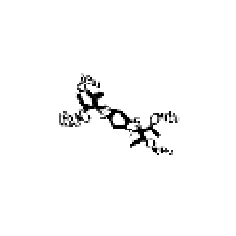 CC(OC(C)(C)C)C1(C(C)OC(C)(C)C)Sc2cc3c(cc2S1)SC(C(C)OC(C)(C)C)(C(C)OC(C)(C)C)S3